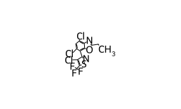 CCc1nc2c(Cl)cc(Cl)c(-c3nsc(C(F)(F)F)c3Cl)c2o1